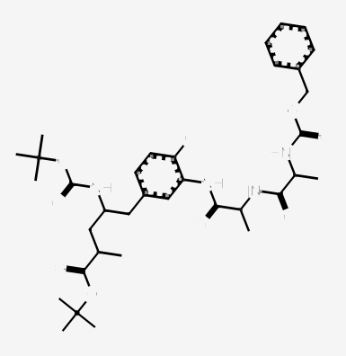 CC(CC(Cc1ccc(O)c(NC(=O)C(C)NC(=O)C(C)NC(=O)OCc2ccccc2)c1)NC(=O)OC(C)(C)C)C(=O)OC(C)(C)C